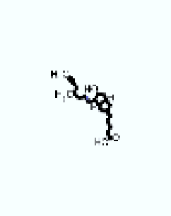 CC#CCC(C)C/C=C/C1[C@H](O)C[C@@H]2CC(=CCCCC(=O)O)C[C@H]12